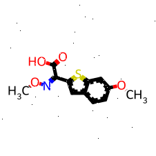 CON=C(C(=O)O)c1cc2ccc(OC)cc2s1